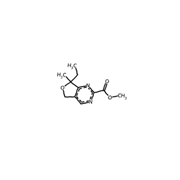 CCC1(C)OCc2cnc(C(=O)OC)nc21